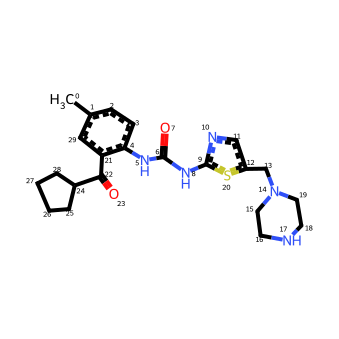 Cc1ccc(NC(=O)Nc2ncc(CN3CCNCC3)s2)c(C(=O)C2CCCC2)c1